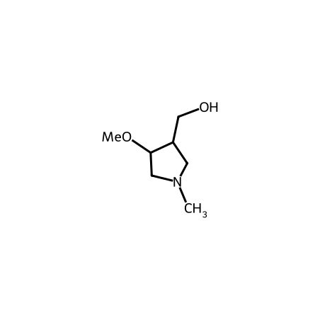 COC1CN(C)CC1CO